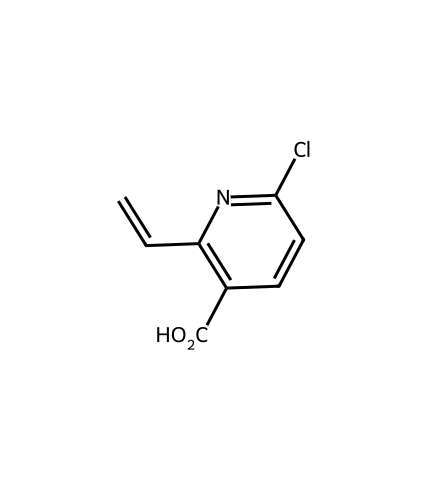 C=Cc1nc(Cl)ccc1C(=O)O